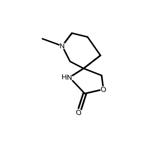 CN1CCCC2(COC(=O)N2)C1